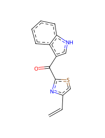 C=Cc1csc(C(=O)c2c[nH]c3ccccc23)n1